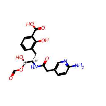 Nc1ccc(CC(=O)N[C@@H](Cc2cccc(C(=O)O)c2O)B(O)OC=O)cn1